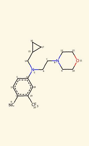 N#Cc1ccc(N(CCN2CCOCC2)CC2CC2)cc1C(F)(F)F